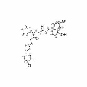 O=C(CCNCCc1ccc(Cl)cc1)N(CCNCCc1ccc(O)c2[nH]c(=O)ccc12)C1CCCCC1